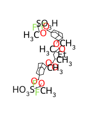 CCC(C)(CC(C)C(=O)OC1(C)C2CC3CC1CC(C(=O)OC(C)C(F)(F)S(=O)(=O)O)(C3)C2)C(=O)OC1(C)C2CC3CC1CC(C(=O)OC(C)C(F)(F)S(=O)(=O)O)(C3)C2